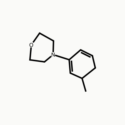 CC1C=C(N2CCOCC2)C=CC1